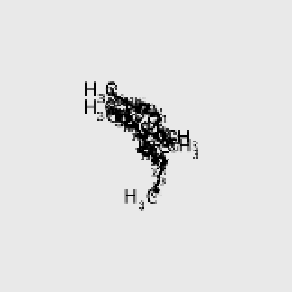 CCCCCCc1ccc(-c2ccc(-c3cc(-c4cc5sc(C(C)(C)C)cc5s4)sc3-c3sc(C(C)(C)C)cc3-c3ccc(-c4ccc(CCCCCC)s4)s3)s2)s1